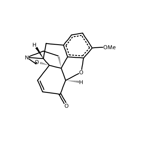 COc1ccc2c3c1O[C@H]1C(=O)C=C[C@]45OCN(CC[C@]314)[C@@H]5C2